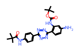 CC(C)(C)OC(=O)Nc1cc(N)ccc1-c1nnc(-c2ccc(NC(=O)C(C)(C)C)cc2)nn1